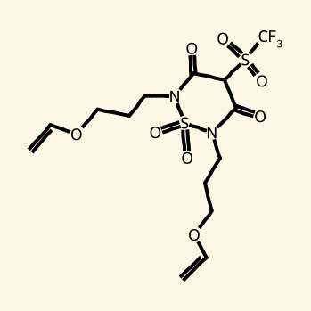 C=COCCCN1C(=O)C(S(=O)(=O)C(F)(F)F)C(=O)N(CCCOC=C)S1(=O)=O